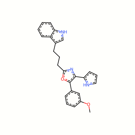 COc1cccc(-c2oc(CCCc3c[nH]c4ccccc34)nc2-c2ccc[nH]2)c1